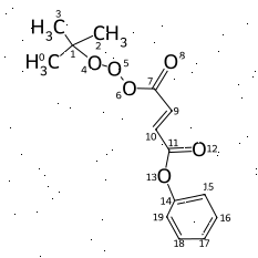 CC(C)(C)OOOC(=O)/C=C/C(=O)Oc1ccccc1